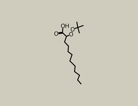 CCCCCCCCCCC(OOC(C)(C)C)C(=O)O